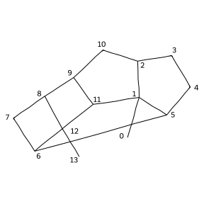 CC12C3CCC1C1CC4C(C3)C2C41C